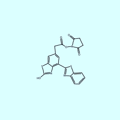 O=C(Cc1cc(-c2nc3ccccc3s2)c2nc(O)sc2c1)ON1C(=O)CCC1=O